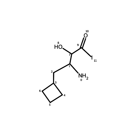 NC(CC1CCC1)C(O)C(=O)I